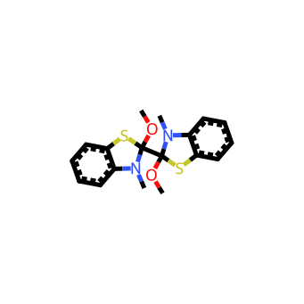 COC1(C2(OC)Sc3ccccc3N2C)Sc2ccccc2N1C